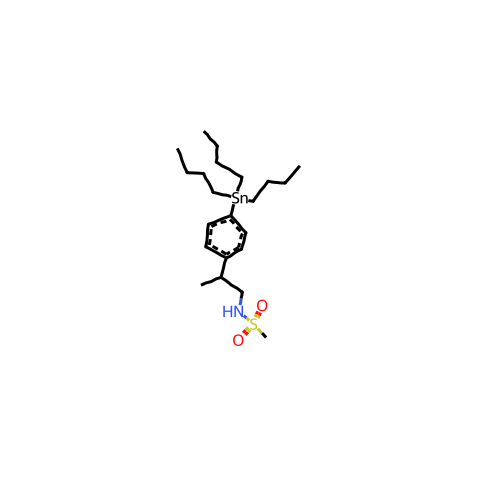 CCC[CH2][Sn]([CH2]CCC)([CH2]CCC)[c]1ccc(C(C)CNS(C)(=O)=O)cc1